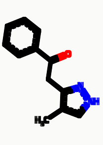 Cc1c[nH]nc1CC(=O)c1ccccc1